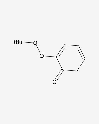 CC(C)(C)OOC1=CC=CCC1=O